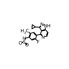 Cc1cc(-c2nccc3[nH]nc(C4CC4)c23)c(F)cc1C[SH](=O)=O